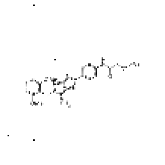 C=c1c(Oc2c(OC)cccc2OC)nn2nc(-c3ccc(NC(=O)COCCCC)cc3)nc12